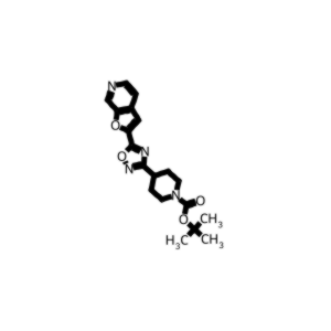 CC(C)(C)OC(=O)N1CCC(c2noc(-c3cc4ccncc4o3)n2)CC1